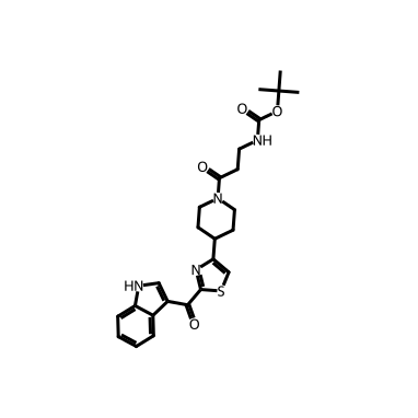 CC(C)(C)OC(=O)NCCC(=O)N1CCC(c2csc(C(=O)c3c[nH]c4ccccc34)n2)CC1